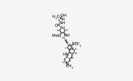 [2H][C@](C)(O)CNC(=O)c1ccc(NCC#Cc2cc3c(N[C@@H]4CCN(C)C[C@@H]4F)cccn3c2SC(F)(F)F)c(OC)c1